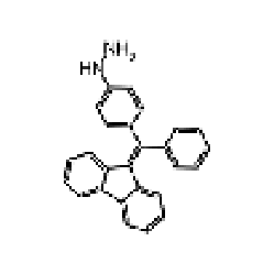 NNc1ccc(C(=C2c3ccccc3-c3ccccc32)c2ccccc2)cc1